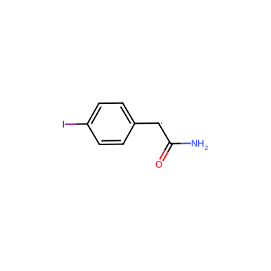 NC(=O)[CH]c1ccc(I)cc1